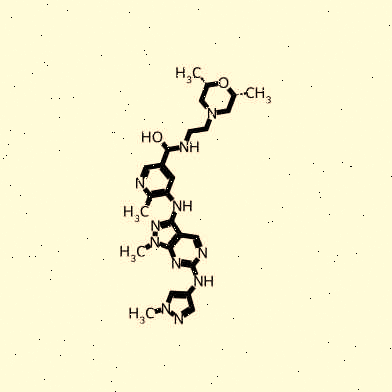 Cc1ncc(C(O)NCCN2C[C@@H](C)O[C@@H](C)C2)cc1Nc1nn(C)c2nc(Nc3cnn(C)c3)ncc12